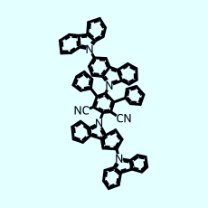 N#Cc1c(-c2ccccc2)c(-n2c3ccccc3c3cc(-n4c5ccccc5c5ccccc54)ccc32)c(-c2ccccc2)c(C#N)c1-n1c2ccccc2c2cc(-n3c4ccccc4c4ccccc43)ccc21